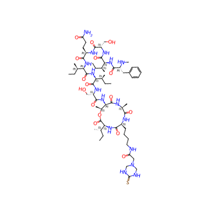 CC[C@@H](C)[C@@H](NC(=O)[C@@H](CCC(N)=O)NC(=O)[C@H](CO)NC(=O)[C@@H](NC(=O)[C@@H](Cc1ccccc1)NC)[C@@H](C)CC)C(=O)N[C@H](C(=O)N[C@@H](CO)C(=O)N[C@H]1C(=O)N[C@@H](C)C(=O)N[C@@H](CCCCNC(=O)CN2CNC(=S)NC2)C(=O)N[C@@H]([C@@H](C)CC)C(=O)O[C@H]1C)[C@@H](C)CC